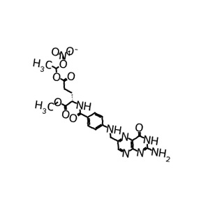 COC(=O)[C@H](CCC(=O)OC(C)O[N+](=O)[O-])NC(=O)c1ccc(NCc2cnc3nc(N)[nH]c(=O)c3n2)cc1